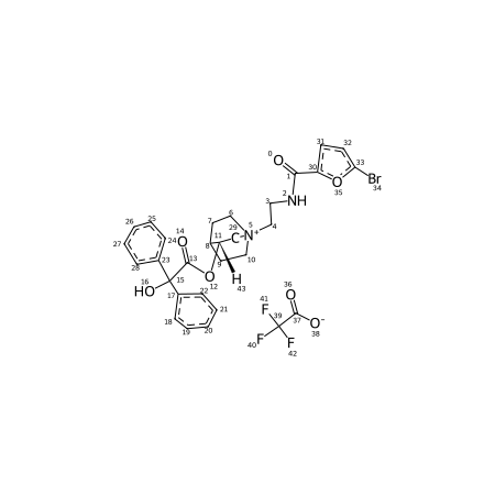 O=C(NCC[N+]12CCC(CC1)[C@@H](OC(=O)C(O)(c1ccccc1)c1ccccc1)C2)c1ccc(Br)o1.O=C([O-])C(F)(F)F